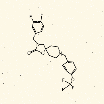 O=C1OC2(CCN(Cc3ccc(OC(F)(F)F)cc3)CC2)CN1Cc1ccc(F)c(F)c1